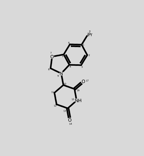 CC(C)c1ccc2c(c1)OCN2C1CCC(=O)NC1=O